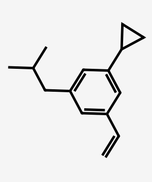 C=Cc1cc(CC(C)C)cc(C2CC2)c1